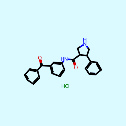 Cl.O=C(c1ccccc1)c1cccc(NC(=O)C2CNCC2c2ccccc2)c1